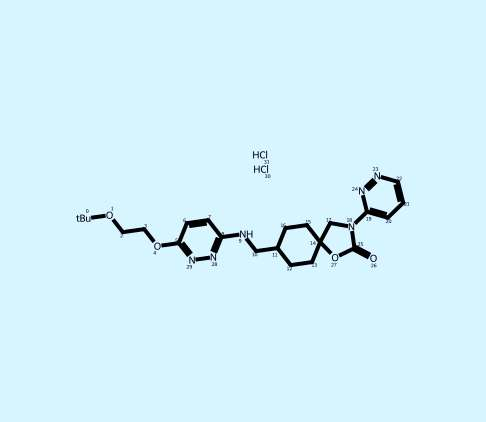 CC(C)(C)OCCOc1ccc(NCC2CCC3(CC2)CN(c2cccnn2)C(=O)O3)nn1.Cl.Cl